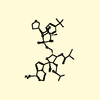 CC(C)C(=O)O[C@H]1[C@@H](OC(=O)C(C)C)[C@](C#N)(c2ccc3c(N)ncnn23)O[C@@H]1COP(=O)(N[C@@H](C)C(=O)O[C@H]1CCOC1)Oc1ccc(C(C)(C)C)cc1